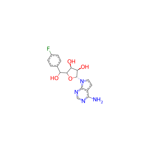 Nc1ncnc2c1ccn2[C@@H]1OC(C(O)c2ccc(F)cc2)[C@@H](O)[C@H]1O